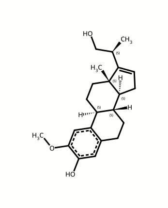 COc1cc2c(cc1O)CC[C@@H]1[C@@H]2CC[C@]2(C)C([C@H](C)CO)=CC[C@@H]12